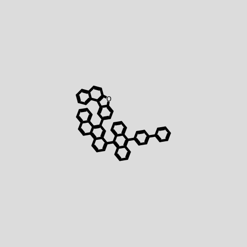 c1ccc(-c2ccc(-c3c4ccccc4c(-c4cccc5c4cc(-c4ccc6oc7ccc8ccccc8c7c6c4)c4c6ccccc6ccc54)c4ccccc34)cc2)cc1